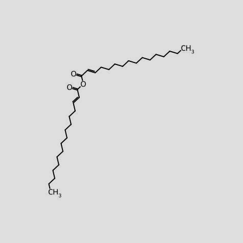 CCCCCCCCCCCCCC=CC(=O)OC(=O)C=CCCCCCCCCCCCCC